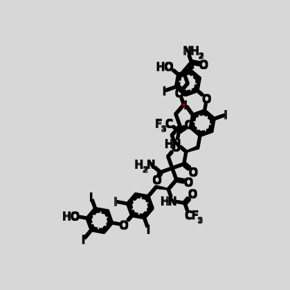 NC(=O)CCOCCCCOCC(C(N)=O)(C(=O)[C@H](Cc1cc(I)c(Oc2cc(I)c(O)c(I)c2)c(I)c1)NC(=O)C(F)(F)F)C(=O)[C@H](Cc1cc(I)c(Oc2cc(I)c(O)c(I)c2)c(I)c1)NC(=O)C(F)(F)F